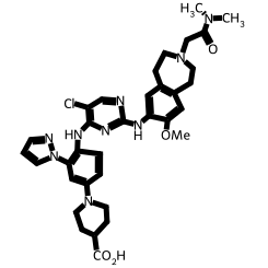 COc1cc2c(cc1Nc1ncc(Cl)c(Nc3ccc(N4CCC(C(=O)O)CC4)cc3-n3cccn3)n1)CCN(CC(=O)N(C)C)CC2